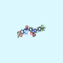 CCS(=O)(=O)c1ccc(CNC(=O)c2ccc(N3CC(c4ccc(C(F)(F)F)cc4)C[C@H]3C(=O)OC)cc2)cc1